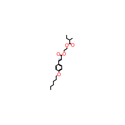 CCCCCCOc1ccc(/C=C/C(=O)OCCOC(=O)C(C)CC)cc1